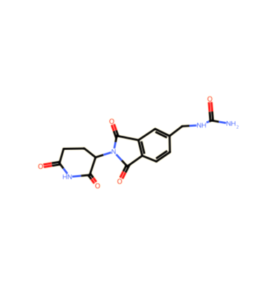 NC(=O)NCc1ccc2c(c1)C(=O)N(C1CCC(=O)NC1=O)C2=O